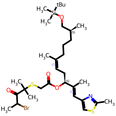 C/C(=C/C[C@H](OC(=O)CSC(C)(C)C(=O)C(C)Br)/C(C)=C/c1csc(C)n1)CCC[C@H](C)CO[Si](C)(C)C(C)(C)C